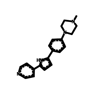 CN1CCN(c2ccc(-c3ccc(-c4ccncc4)[nH]3)cc2)CC1